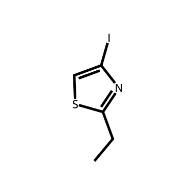 CCc1nc(I)cs1